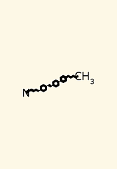 CCCCCc1ccc([C@H]2CC[C@H](C=C[C@H]3CC[C@H](CCC=CC#N)CC3)CC2)cc1